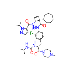 CC(C)NC(=O)N[C@H](Cc1ccc(NC(=O)[C@]2(C3CCCCCC3)C=CC2NC(=O)c2ccnn2C(C)C)c(F)c1)C(=O)N1CCN(C)CC1